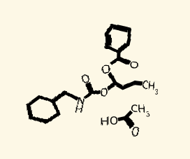 CC(=O)O.CCCC(OC(=O)NCC1CCCCC1)OC(=O)c1ccccc1